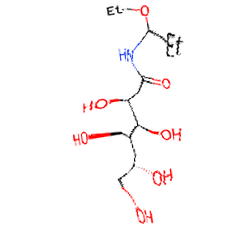 CCOC(CC)NC(=O)[C@H](O)[C@@H](O)[C@H](O)[C@H](O)CO